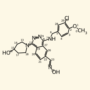 COc1ccc(CNc2nnc(N3CCC(O)CC3)c3ccc(C=NO)cc23)cc1Cl